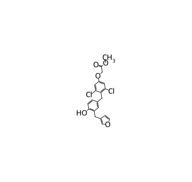 COC(=O)COc1cc(Cl)c(Cc2ccc(O)c(Cc3ccoc3)c2)c(Cl)c1